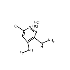 CCNc1cc(Cl)nnc1NN.Cl.Cl